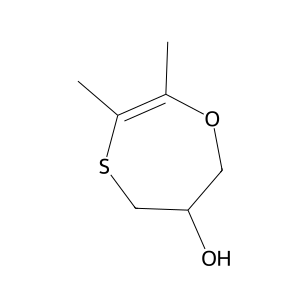 CC1=C(C)SCC(O)CO1